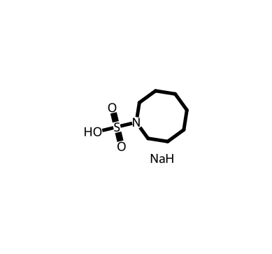 O=S(=O)(O)N1CCCCCCC1.[NaH]